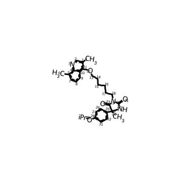 Cc1cnc2c(C)cccc2c1OCCCCCCN1C(=O)NC(C)(c2ccc(OC(C)C)cc2)C1=O